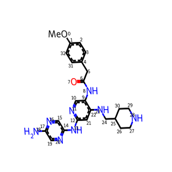 COc1ccc(CC(=O)Nc2cnc(Nc3cnc(N)cn3)cc2NCC2CCNCC2)cc1